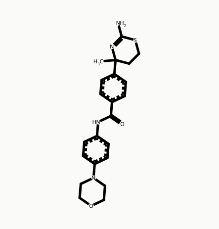 CC1(c2ccc(C(=O)Nc3ccc(N4CCOCC4)cc3)cc2)CCSC(N)=N1